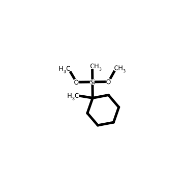 CO[Si](C)(OC)C1(C)CCCCC1